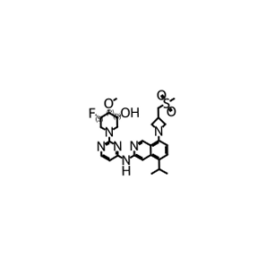 CO[C@@H]1[C@H](O)CN(c2nccc(Nc3cc4c(C(C)C)ccc(N5CC(CS(C)(=O)=O)C5)c4cn3)n2)C[C@@H]1F